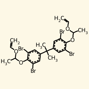 C=COC(C)Oc1c(Br)cc(C(C)(C)c2cc(Br)c(OC(C)OC=C)c(Br)c2)cc1Br